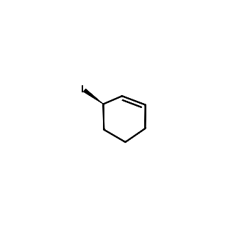 I[C@H]1C=CCCC1